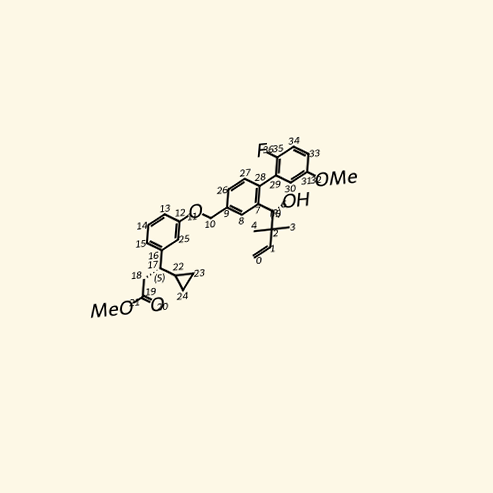 C=CC(C)(C)[C@@H](O)c1cc(COc2cccc([C@@H](CC(=O)OC)C3CC3)c2)ccc1-c1cc(OC)ccc1F